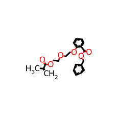 C=C(C)C(=O)OCCOCCOc1ccccc1C(=O)OCc1ccccc1